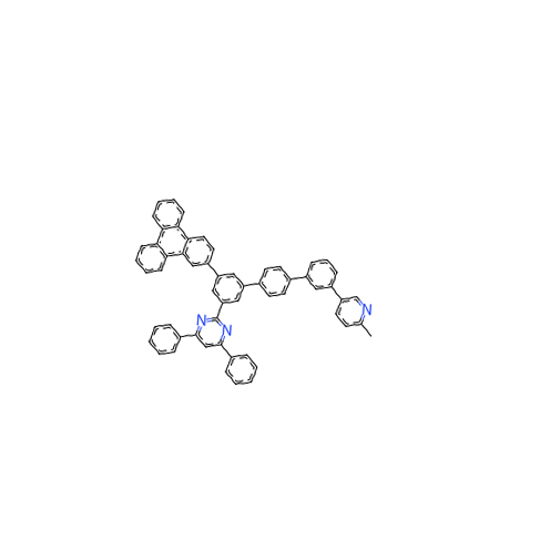 Cc1ccc(-c2cccc(-c3ccc(-c4cc(-c5ccc6c7ccccc7c7ccccc7c6c5)cc(-c5nc(-c6ccccc6)cc(-c6ccccc6)n5)c4)cc3)c2)cn1